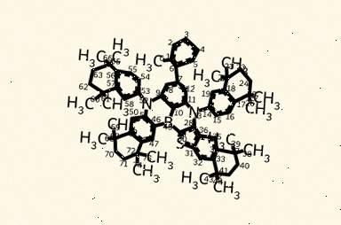 Cc1ccccc1-c1cc2c3c(c1)N(c1ccc4c(c1)C(C)(C)CCC4(C)C)c1c(sc4cc5c(cc14)C(C)(C)CCC5(C)C)B3c1cc3c(cc1N2c1ccc2c(c1)C(C)(C)CCC2(C)C)C(C)(C)CCC3(C)C